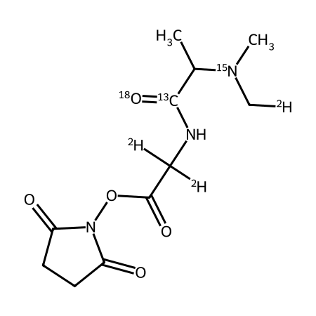 [2H]C[15N](C)C(C)[13C](=[18O])NC([2H])([2H])C(=O)ON1C(=O)CCC1=O